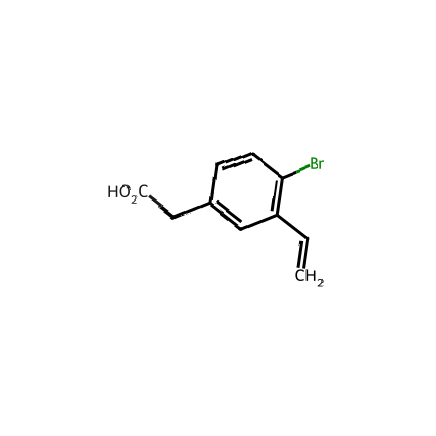 C=Cc1cc(CC(=O)O)ccc1Br